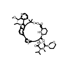 CCn1c(-c2cccnc2[C@H](C)OC)c2c3cc(ccc31)-c1csc(n1)C[C@H](NC(=O)[C@H](C(C)C)N(C)C(=O)N1CCCOC1)C(=O)N1CCCC(C=O)(COCC(C)(C)C2)N1